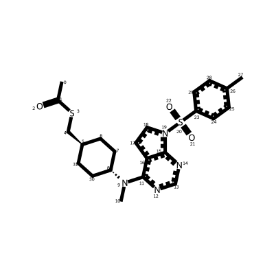 CC(=O)SC[C@H]1CC[C@H](N(C)c2ncnc3c2ccn3S(=O)(=O)c2ccc(C)cc2)CC1